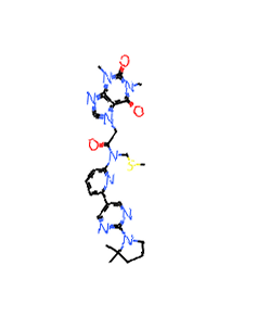 CSCN(C(=O)Cn1cnc2c1c(=O)n(C)c(=O)n2C)c1cccc(-c2cnc(N3CCCC3(C)C)nc2)n1